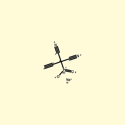 C#CC(C#N)(C#N)[PH](=O)[O-].[Na+]